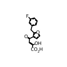 O=C(O)/C(O)=C/C(=O)c1ccoc1Cc1cccc(F)c1